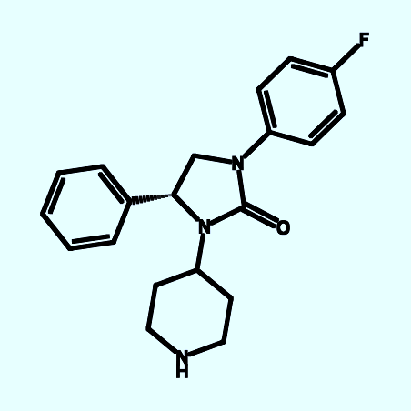 O=C1N(c2ccc(F)cc2)C[C@@H](c2ccccc2)N1C1CCNCC1